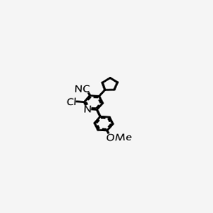 COc1ccc(-c2cc(C3CCCC3)c(C#N)c(Cl)n2)cc1